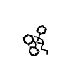 C=C[C](C)(c1ccccc1)[Sn]([CH2]CCC)([c]1ccccc1)[c]1ccccc1